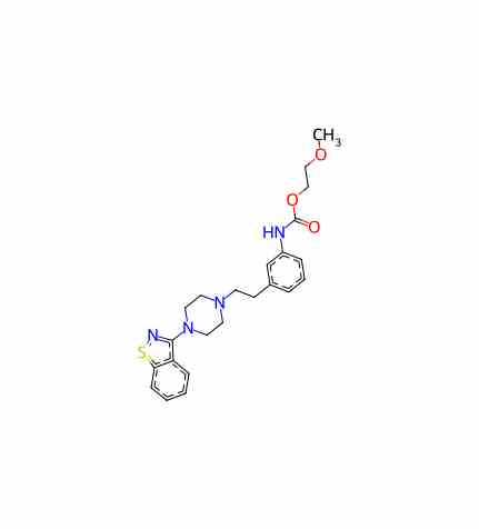 COCCOC(=O)Nc1cccc(CCN2CCN(c3nsc4ccccc34)CC2)c1